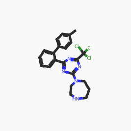 Cc1ccc(-c2ccccc2-c2nc(N3CCCNCC3)nc(C(Cl)(Cl)Cl)n2)cc1